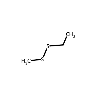 C[CH]SSC